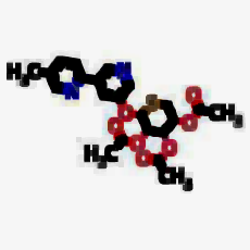 CC(=O)O[C@@H]1[C@@H](OC(C)=O)[C@@H](Oc2cncc(-c3ccc(C)cn3)c2)SC[C@H]1OC(C)=O